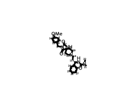 COc1ccc(CN2C(=O)NC3(CCN(CC[C@H](NC(=O)N(C)C)c4ccccc4)CC3)C2=O)cc1